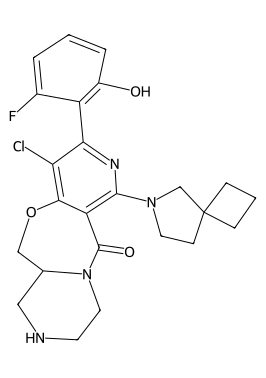 O=C1c2c(N3CCC4(CCC4)C3)nc(-c3c(O)cccc3F)c(Cl)c2OCC2CNCCN12